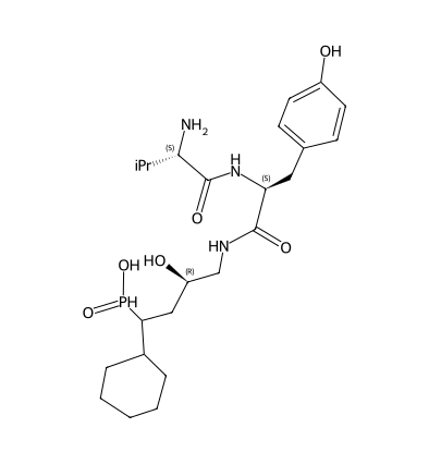 CC(C)[C@H](N)C(=O)N[C@@H](Cc1ccc(O)cc1)C(=O)NC[C@H](O)CC(C1CCCCC1)[PH](=O)O